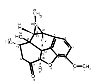 COc1ccc2c3c1O[C@H]1C(=O)C[C@H](O)C4(O)[C@@H]5N(C)C25C[C@]314